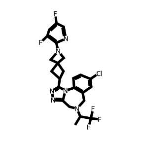 CC(N1Cc2cc(Cl)ccc2-n2c(nnc2C2CC3(C2)CN(c2ncc(F)cc2F)C3)C1)C(F)(F)F